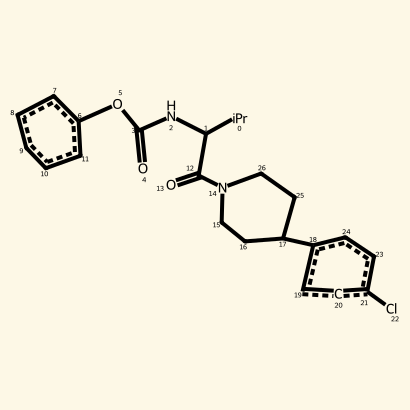 CC(C)C(NC(=O)Oc1ccccc1)C(=O)N1CCC(c2ccc(Cl)cc2)CC1